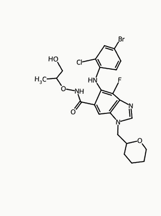 CC(CO)ONC(=O)c1cc2c(ncn2CC2CCCCO2)c(F)c1Nc1ccc(Br)cc1Cl